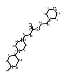 CN1CCC(N2CCN(CCC(=O)OCCN3CCOCC3)CC2)CC1